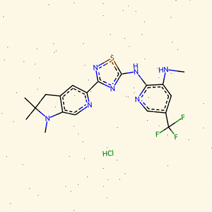 CNc1cc(C(F)(F)F)cnc1Nc1nc(-c2cc3c(cn2)N(C)C(C)(C)C3)ns1.Cl